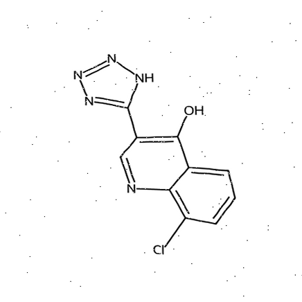 Oc1c(-c2nnn[nH]2)cnc2c(Cl)cccc12